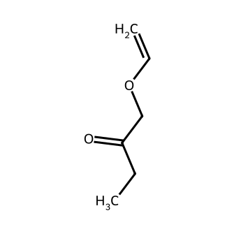 C=COCC(=O)CC